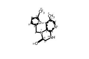 Cc1cnc2c(c1)N(Cc1ccc(C(F)(F)F)o1)C(=O)CN2